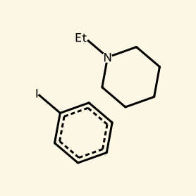 CCN1CCCCC1.Ic1ccccc1